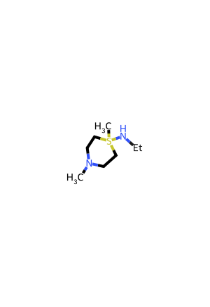 CCNS1(C)CCN(C)CC1